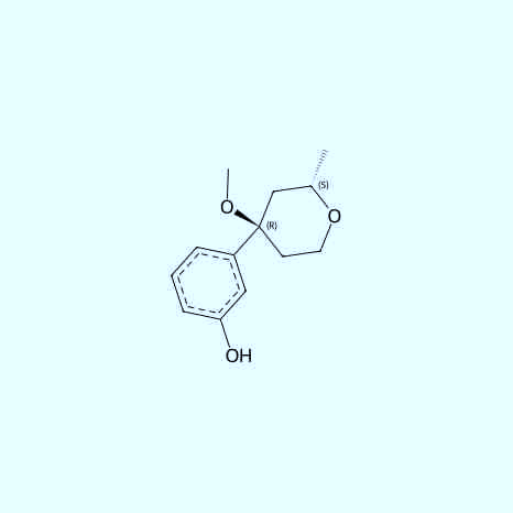 CO[C@]1(c2cccc(O)c2)CCO[C@@H](C)C1